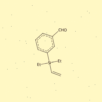 C=C[Si](CC)(CC)c1cccc(C=O)c1